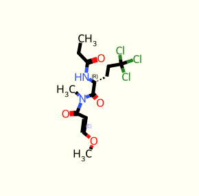 CCC(=O)N[C@H](CCC(Cl)(Cl)Cl)C(=O)N(C)C(=O)/C=C/OC